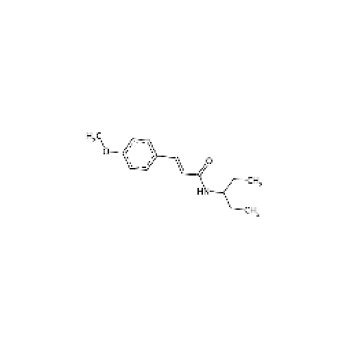 CCC(CC)NC(=O)C=Cc1ccc(OC)cc1